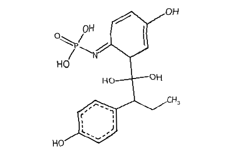 CCC(c1ccc(O)cc1)C(O)(O)C1C=C(O)C=C/C1=N\P(=O)(O)O